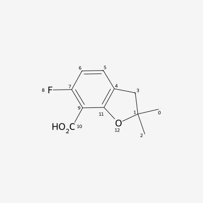 CC1(C)Cc2ccc(F)c(C(=O)O)c2O1